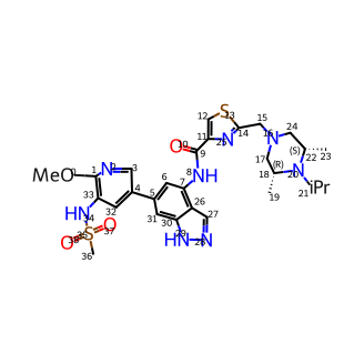 COc1ncc(-c2cc(NC(=O)c3csc(CN4C[C@@H](C)N(C(C)C)[C@@H](C)C4)n3)c3cn[nH]c3c2)cc1NS(C)(=O)=O